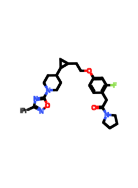 CC(C)c1noc(N2CCC(C3CC3CCOc3ccc(CC(=O)N4CCCC4)c(F)c3)CC2)n1